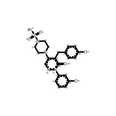 CC(C)S(=O)(=O)N1CCN(c2cnn(-c3cccc(Cl)c3)c(=O)c2Cc2ccc(Cl)cc2)CC1